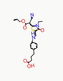 C=CCOC(=O)C(C#N)=c1sc(=CNc2ccc(CCCC(=O)O)cc2)c(=O)n1CC